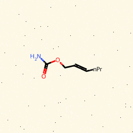 CCCC=CCOC(N)=O